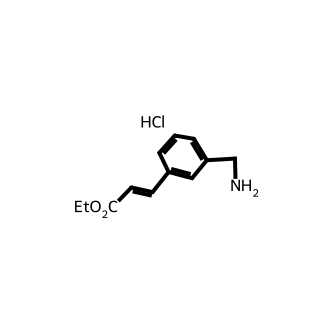 CCOC(=O)/C=C/c1cccc(CN)c1.Cl